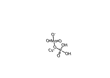 O=P(O)(O)[O][Mo](=[O])(=[O])[O-].[Cs+]